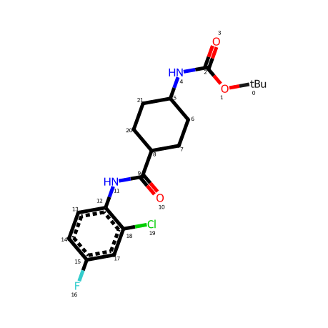 CC(C)(C)OC(=O)NC1CCC(C(=O)Nc2ccc(F)cc2Cl)CC1